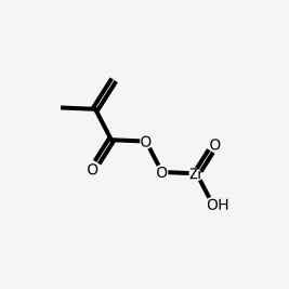 C=C(C)C(=O)O[O][Zr](=[O])[OH]